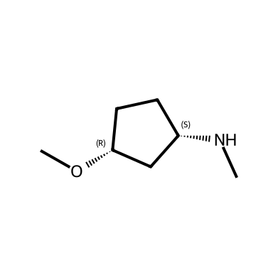 CN[C@H]1CC[C@@H](OC)C1